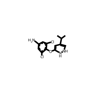 CC(C)C1=CNNC(Oc2c(Cl)cc(N)cc2Cl)=C1